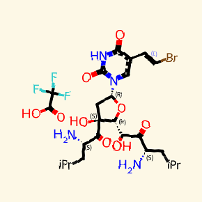 CC(C)C[C@H](N)C(=O)C(O)[C@H]1O[C@@H](n2cc(/C=C/Br)c(=O)[nH]c2=O)C[C@@]1(O)C(=O)[C@@H](N)CC(C)C.O=C(O)C(F)(F)F